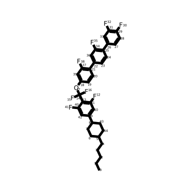 CCCCCC1CCC(c2cc(F)c(C(F)(F)Oc3ccc(-c4ccc(-c5ccc(F)c(F)c5)c(F)c4)c(F)c3)c(F)c2)CC1